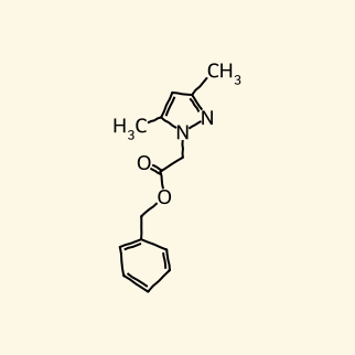 Cc1cc(C)n(CC(=O)OCc2ccccc2)n1